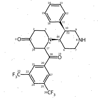 O=C1CCN([C@@H]2CCNC[C@@H]2c2ccccc2)C(C(=O)c2cc(C(F)(F)F)cc(C(F)(F)F)c2)C1